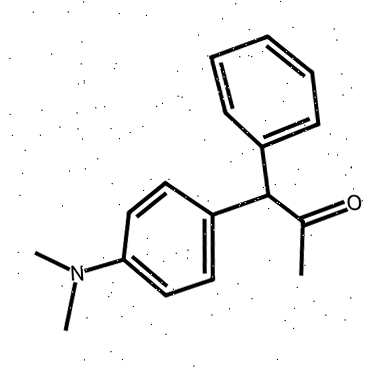 CC(=O)C(c1ccccc1)c1ccc(N(C)C)cc1